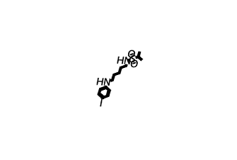 CC(C)S(=O)(=O)NCCCCCNc1ccc(I)cc1